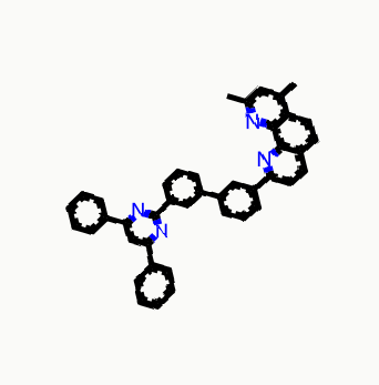 Cc1cc(C)c2ccc3ccc(-c4cccc(-c5cccc(-c6nc(-c7ccccc7)cc(-c7ccccc7)n6)c5)c4)nc3c2n1